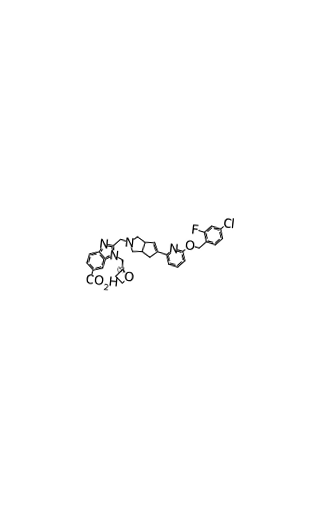 O=C(O)c1ccc2nc(CN3CC4C=C(c5cccc(OCc6ccc(Cl)cc6F)n5)CC4C3)n(C[C@@H]3CCO3)c2c1